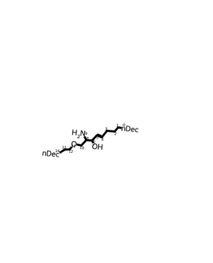 CCCCCCCCCCCCC/C=C/C(O)C(N)COCCCCCCCCCCCC